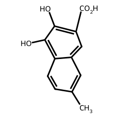 Cc1ccc2c(O)c(O)c(C(=O)O)cc2c1